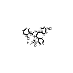 CS(=O)(=O)c1ccccc1-c1nc(-c2ccccc2Cl)sc1-c1ccc(Cl)cc1